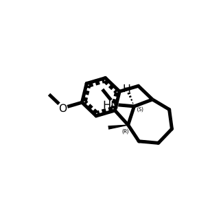 CN[C@H]1C2CCCC[C@]1(C)c1cc(OC)ccc1C2